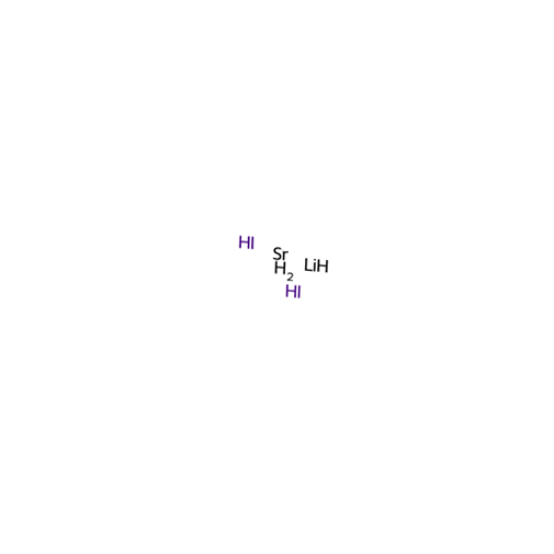 I.I.[LiH].[SrH2]